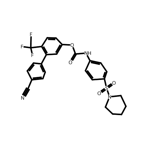 N#Cc1ccc(-c2cc(OC(=O)Nc3ccc(S(=O)(=O)N4CCCCC4)cc3)ccc2C(F)(F)F)cc1